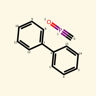 C#P=O.c1ccc(-c2ccccc2)cc1